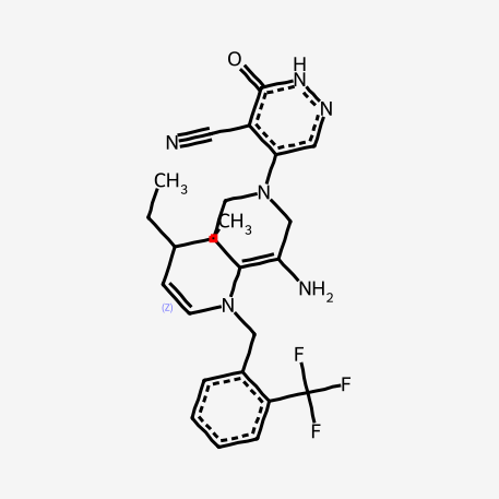 CCC(/C=C\N(Cc1ccccc1C(F)(F)F)C1=C(N)CN(c2cn[nH]c(=O)c2C#N)CC1)CC